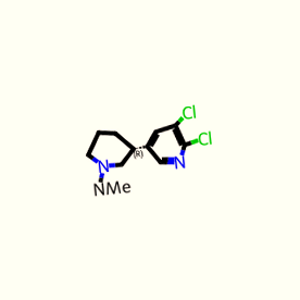 CNN1CCC[C@H](c2cnc(Cl)c(Cl)c2)C1